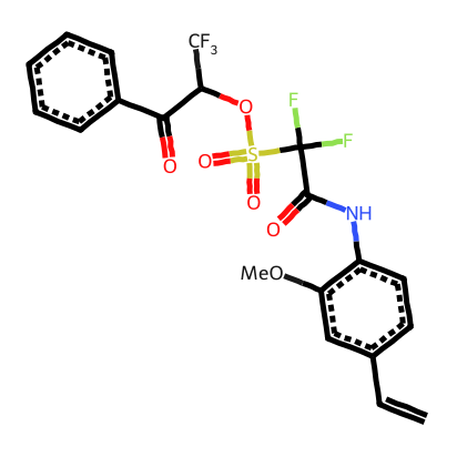 C=Cc1ccc(NC(=O)C(F)(F)S(=O)(=O)OC(C(=O)c2ccccc2)C(F)(F)F)c(OC)c1